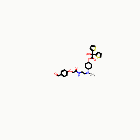 CN(CCNC(=O)COc1ccc(C=O)cc1)[C@H]1CC[C@H](OC(=O)C(O)(c2cccs2)c2cccs2)CC1